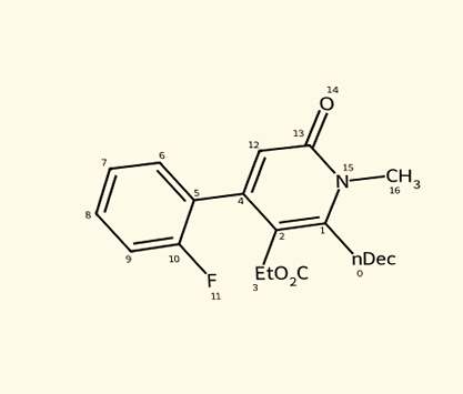 CCCCCCCCCCc1c(C(=O)OCC)c(-c2ccccc2F)cc(=O)n1C